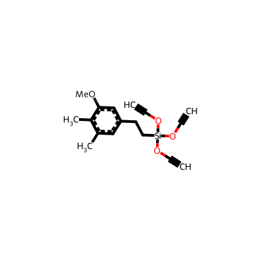 C#CO[Si](CCc1cc(C)c(C)c(OC)c1)(OC#C)OC#C